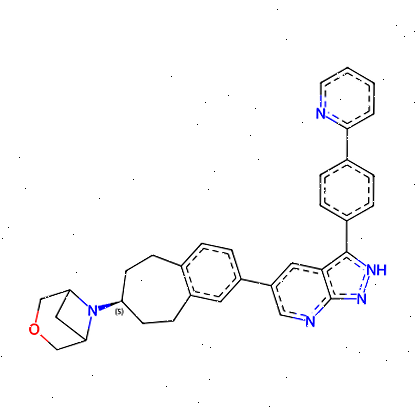 c1ccc(-c2ccc(-c3[nH]nc4ncc(-c5ccc6c(c5)CC[C@@H](N5C7COCC5C7)CC6)cc34)cc2)nc1